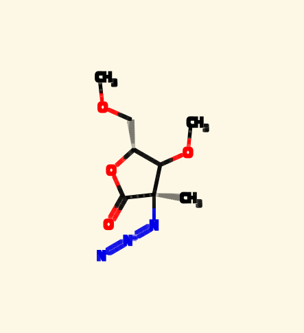 COC[C@H]1OC(=O)[C@](C)(N=[N+]=[N-])C1OC